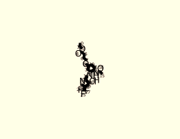 CCOC(=O)CCCOc1ccc(NC(C)=O)c(NCc2ncc(C(F)(F)F)cc2Cl)c1